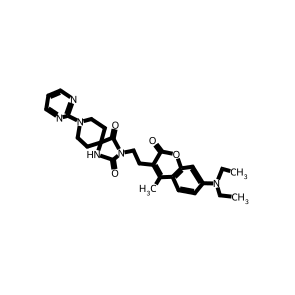 CCN(CC)c1ccc2c(C)c(CCN3C(=O)NC4(CCN(c5ncccn5)CC4)C3=O)c(=O)oc2c1